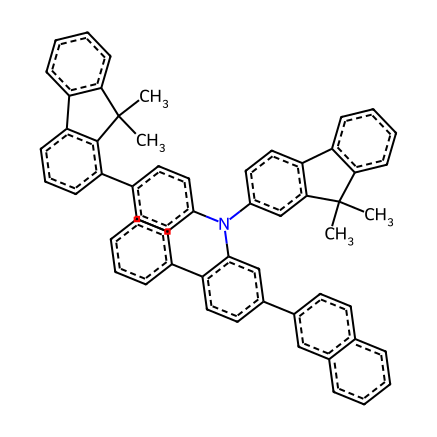 CC1(C)c2ccccc2-c2ccc(N(c3ccc(-c4cccc5c4C(C)(C)c4ccccc4-5)cc3)c3cc(-c4ccc5ccccc5c4)ccc3-c3ccccc3)cc21